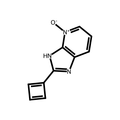 [O-][n+]1cccc2nc(C3=CC=C3)[nH]c21